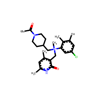 [CH]c1cc(Cl)cc([N+](C)(Cc2c(C)cc(C)[nH]c2=O)CC2CCN(C(=O)C(C)(C)C)CC2)c1C